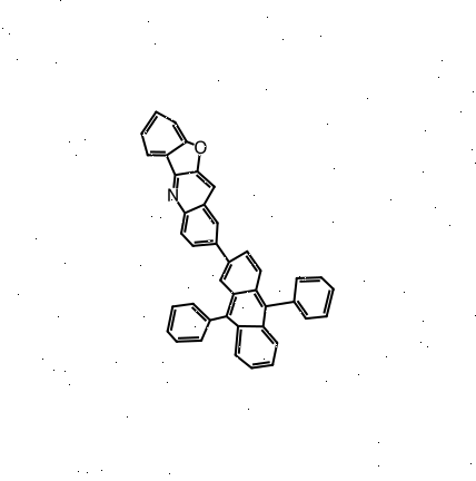 c1ccc(-c2c3ccccc3c(-c3ccccc3)c3cc(-c4ccc5nc6c(cc5c4)oc4ccccc46)ccc23)cc1